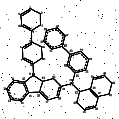 C1=CCCC(C2=CC=C(N3c4ccccc4C4=CC=C(N(c5cccc(-c6ccccc6)c5)C5CC=CC6=C5C=CCC6)CC43)CC2)=C1